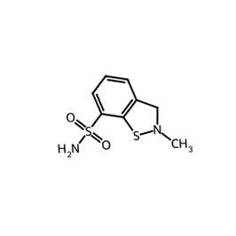 CN1Cc2cccc(S(N)(=O)=O)c2S1